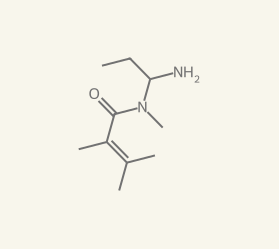 CCC(N)N(C)C(=O)C(C)=C(C)C